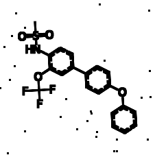 CS(=O)(=O)Nc1ccc(-c2ccc(Oc3ccccc3)cc2)cc1OC(F)(F)F